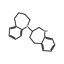 [C]1CCCc2ccccc2N1C1CCc2ccccc2NC1